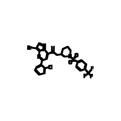 O=S(=O)(c1ccc(C(F)(F)F)cc1)N1CCCC(CNc2cc(-c3ccccc3Cl)nc3c(Br)cnn23)C1